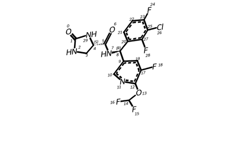 O=C1NC[C@@H](C(=O)N[C@H](c2cnc(OC(F)F)c(F)c2)c2ccc(F)c(Cl)c2F)N1